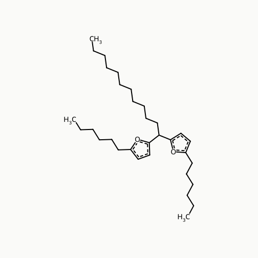 CCCCCCCCCCCC(c1ccc(CCCCCC)o1)c1ccc(CCCCCC)o1